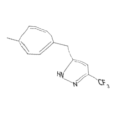 Cc1ccc(Cc2cc(C(F)(F)F)n[nH]2)cc1